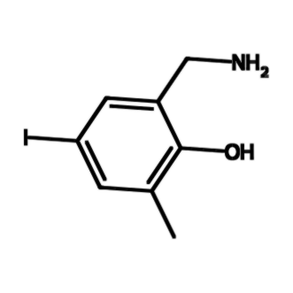 Cc1cc(I)cc(CN)c1O